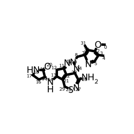 COc1c(C)cnc(CN2N=C3CC(N[C@@H]4CCNC4=O)C4=C3C(=N2)C(N)=NSC4)c1C